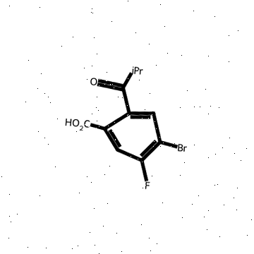 CC(C)C(=O)c1cc(Br)c(F)cc1C(=O)O